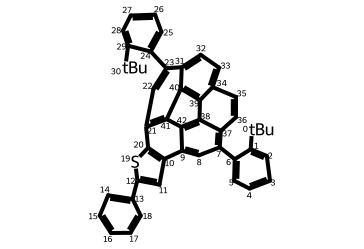 CC(C)(C)c1ccccc1-c1cc2c3cc(-c4ccccc4)sc3c3cc(-c4ccccc4C(C)(C)C)c4ccc5ccc1c1c5c4c3c21